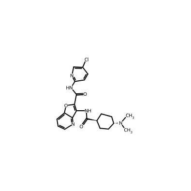 CN(C)[C@H]1CC[C@H](C(=O)Nc2c(C(=O)Nc3ccc(Cl)cn3)oc3cccnc23)CC1